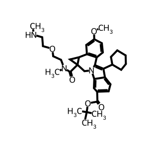 CNCCOCCN(C)C(=O)C12CC1c1cc(OC)ccc1-c1c(C3CCCCC3)c3ccc(C(=O)OC(C)(C)C)cc3n1C2